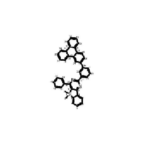 C[Si]1(C)c2ccccc2-c2nc(-c3cccc(-c4ccc5c6ccccc6c6ccccc6c5c4)c3)nc(-c3ccccc3)c21